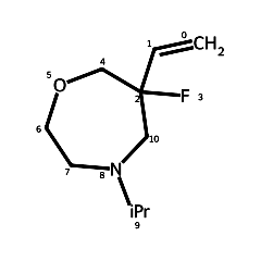 C=CC1(F)COCCN(C(C)C)C1